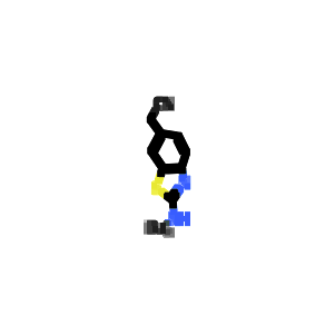 CC[C@@H](C)Nc1nc2ccc(CC#N)cc2s1